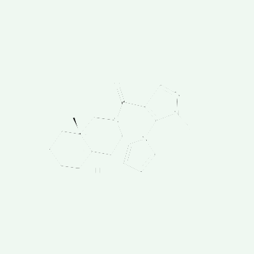 Cn1ncc(C(=O)N2CC[C@H]3CCCC[C@@H]3C2)c1-n1cccc1